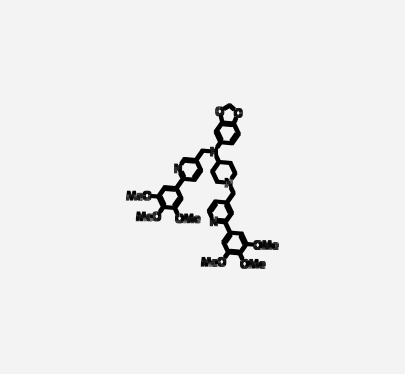 COc1cc(-c2ccc(CN(c3ccc4c(c3)OCO4)C3CCN(Cc4ccnc(-c5cc(OC)c(OC)c(OC)c5)c4)CC3)cn2)cc(OC)c1OC